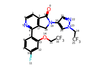 O=C1c2ccnc(-c3ccc(F)cc3OCC(F)(F)F)c2CN1c1cnn(CC(F)(F)F)c1